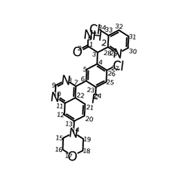 NC(=O)C(c1cc(-c2ncnc3cc(N4CCOCC4)ccc23)c(F)cc1Cl)c1ncccc1Cl